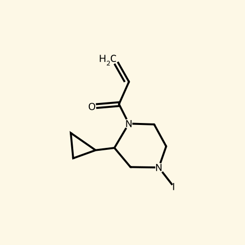 C=CC(=O)N1CCN(I)CC1C1CC1